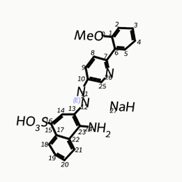 COc1ccccc1-c1ccc(/N=N/c2cc(S(=O)(=O)O)c3ccccc3c2N)cn1.[NaH]